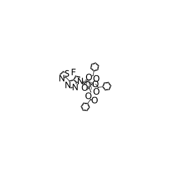 O=C(OC[C@H]1O[C@@H](n2cc(F)c3c(-c4nccs4)ncnc32)[C@H](OC(=O)c2ccccc2)[C@@H]1OC(=O)c1ccccc1)c1ccccc1